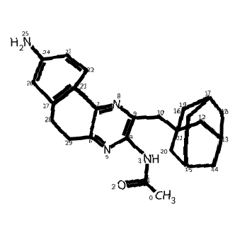 CC(=O)Nc1nc2c(nc1CC13CC4CC(CC(C4)C1)C3)-c1ccc(N)cc1CC2